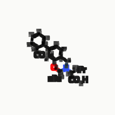 CCCCC(=O)N(Cc1ccc(-c2ccccc2C(=O)O)cc1)[C@H](C(=O)O)C(C)C